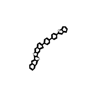 c1ccc2cc3c(cc2c1)sc1c2cc4cc(-c5ccc(-c6ccc(-c7cc8ccccc8o7)cc6)cc5)ccc4cc2sc31